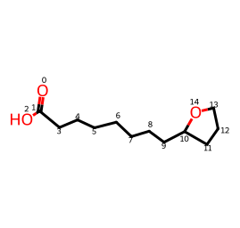 O=C(O)CCCCCCCC1CCCO1